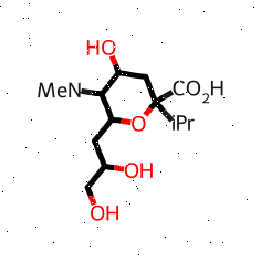 CNC1C(O)CC(C(=O)O)(C(C)C)OC1CC(O)CO